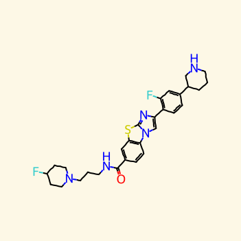 O=C(NCCCN1CCC(F)CC1)c1ccc2c(c1)sc1nc(-c3ccc(C4CCCNC4)cc3F)cn12